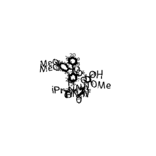 CO[C@@H]1[C@H](O)[C@@H](COOC(C2=CCC(OC)(OC)C=C2)(c2ccccc2)c2ccccc2)O[C@H]1n1cnc2c(=O)[nH]c(NC(=O)C(C)C)nc21